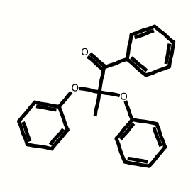 CC(Oc1ccccc1)(Oc1ccccc1)C(=O)c1ccccc1